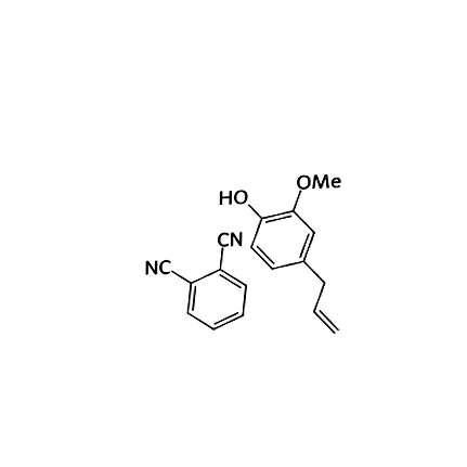 C=CCc1ccc(O)c(OC)c1.N#Cc1ccccc1C#N